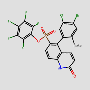 COc1cc(Br)c(Cl)cc1-c1c(S(=O)(=O)Oc2c(F)c(F)c(F)c(F)c2F)ccc2[nH]c(=O)ccc12